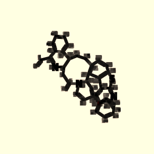 C=CC1=NC2CC(=C)[n+]3ccc(-c4ccccc4)cc3-c3c(ccc4sc5nc(C)ccc5c34)CCC2c2ccccc21